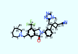 C[C@@H]1CCCCN(Cc2cc3c(c(C(F)(F)F)c2)CN(c2cccc(C4(Cc5nncn5C)CC(C#N)C4)c2)C3=O)C1